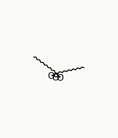 CCCCCCCCCCCCC1=C(CCCCCCCCCCCC)C(=O)OC1=O